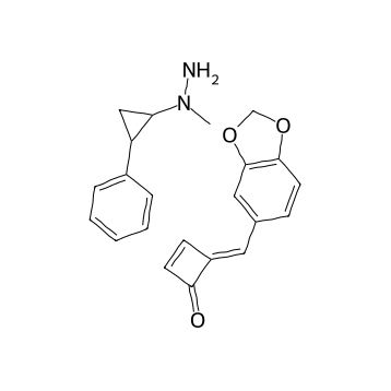 CN(N)C1CC1c1ccccc1.O=C1C=CC1=Cc1ccc2c(c1)OCO2